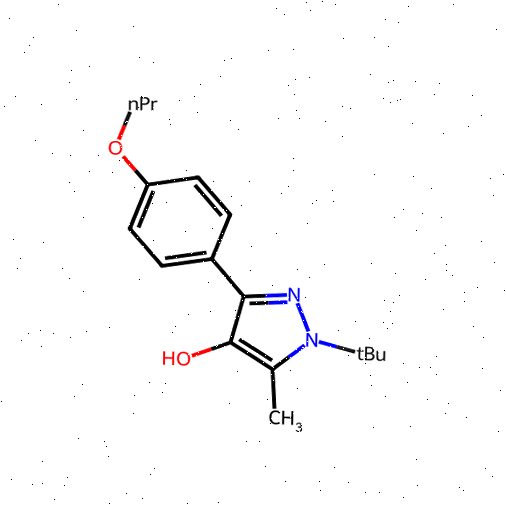 CCCOc1ccc(-c2nn(C(C)(C)C)c(C)c2O)cc1